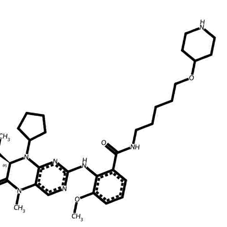 CC[C@@H]1C(=O)N(C)c2cnc(Nc3c(OC)cccc3C(=O)NCCCCCOC3CCNCC3)nc2N1C1CCCC1